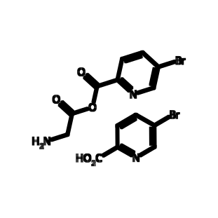 NCC(=O)OC(=O)c1ccc(Br)cn1.O=C(O)c1ccc(Br)cn1